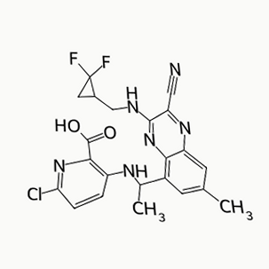 Cc1cc(C(C)Nc2ccc(Cl)nc2C(=O)O)c2nc(NCC3CC3(F)F)c(C#N)nc2c1